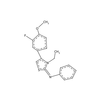 CCn1c(-c2ccc(OC)c(F)c2)cs/c1=N/c1ccccc1